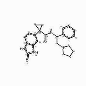 O=C(NC(CN1CCCC1)c1ccccc1)C1(c2ccc3[nH]c(=O)[nH]c3c2)CC1